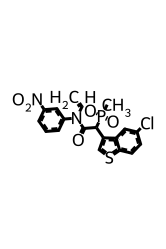 C=CN(C(=O)C(c1csc2ccc(Cl)cc12)P(C)(=O)O)c1cccc([N+](=O)[O-])c1